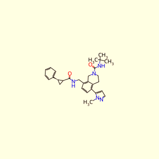 Cn1nccc1-c1ccc(CNC(=O)C2C[C@H]2c2ccccc2)c2c1CCN(C(=O)NC(C)(C)C)C2